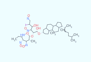 CCC1NO[C@H](O[C@H](C(N=O)[C@H](O)C(I)CN=O)[C@H](O)O[C@H]2CC[C@@]3(C)C(CCC4C3CC[C@@]3(C)C4CC[C@@H]3C(C)CCCC(C)C)C2)[C@H](C)C(N=O)[C@@H]1N=O